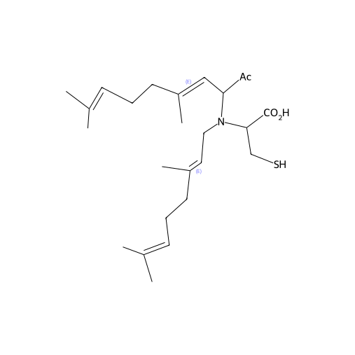 CC(=O)C(/C=C(\C)CCC=C(C)C)N(C/C=C(\C)CCC=C(C)C)C(CS)C(=O)O